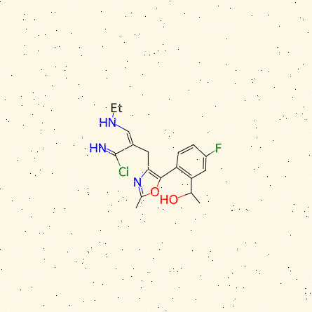 CCN/C=C(/Cc1nc(C)oc1-c1ccc(F)cc1C(C)O)C(=N)Cl